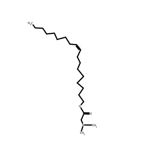 CCCCCCCC/C=C\CCCCCCCCOC(=O)CN(C)C